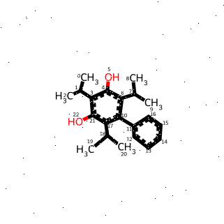 CC(C)c1c(O)c(C(C)C)c(-c2ccccc2)c(C(C)C)c1O